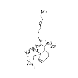 COCCC12C=CC=CC1=C1NCN(CCOCCN)C1=CN2N.[Sn]